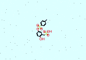 Cc1ccc(S(=O)(=O)Oc2ccc(O)c(CS(=O)(=O)O)c2)cc1